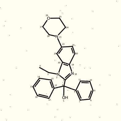 CCn1c(C(O)(c2ccccc2)c2ccccc2)nc2ccc(N3CCOCC3)cc21